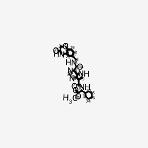 COC(=O)C(NC(=O)c1c[nH]c2c(C(=O)NCc3ccc4c(c3)NC(=O)CO4)ncnc12)C1CCCCC1